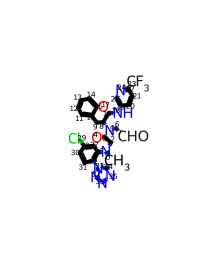 CN(CC(=O)N(CC=O)C(Cc1ccccc1)C(=O)Nc1ccc(C(F)(F)F)nc1)c1cc(Cl)ccc1-n1cnnn1